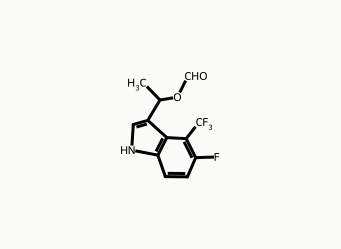 CC(OC=O)c1c[nH]c2ccc(F)c(C(F)(F)F)c12